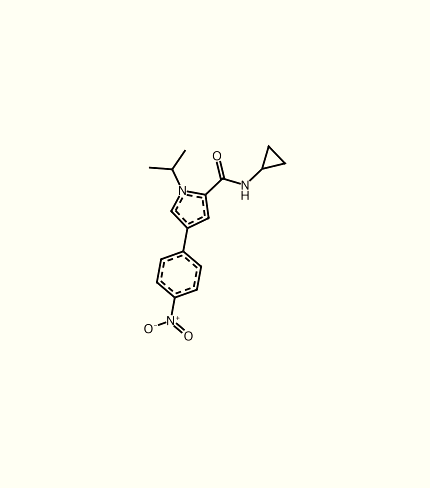 CC(C)n1cc(-c2ccc([N+](=O)[O-])cc2)cc1C(=O)NC1CC1